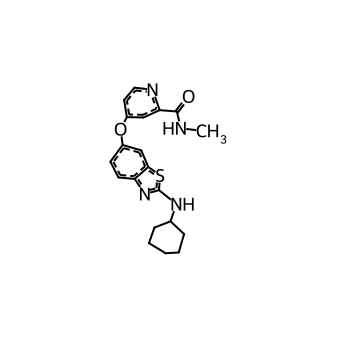 CNC(=O)c1cc(Oc2ccc3nc(NC4CCCCC4)sc3c2)ccn1